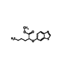 CCCCC(Oc1ccc2ncsc2c1)C(=O)OC